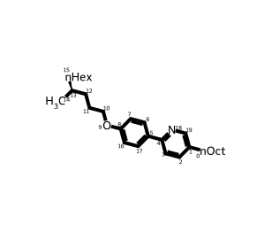 CCCCCCCCc1ccc(-c2ccc(OCCC[C@@H](C)CCCCCC)cc2)nc1